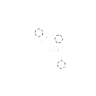 CC(C#N)(CC[C@](COCc1ccccc1)(N[S@+]([O-])C(C)(C)C)c1ccccc1F)c1ccc(F)cc1